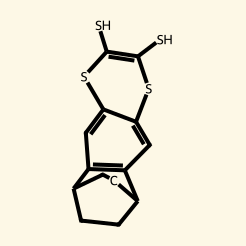 SC1=C(S)Sc2cc3c(cc2S1)C1CCC3CC1